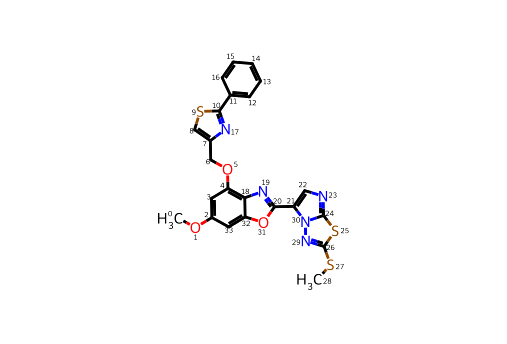 COc1cc(OCc2csc(-c3ccccc3)n2)c2nc(-c3cnc4sc(SC)nn34)oc2c1